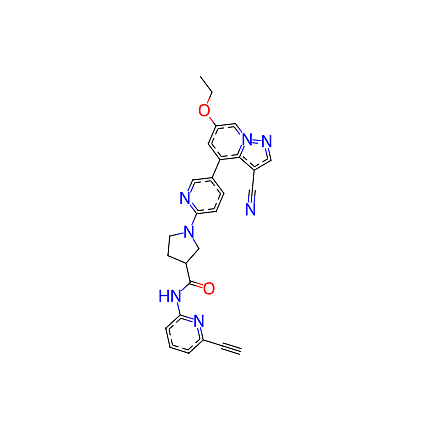 C#Cc1cccc(NC(=O)C2CCN(c3ccc(-c4cc(OCC)cn5ncc(C#N)c45)cn3)C2)n1